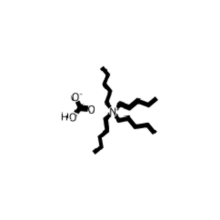 CCCCC[N+](CCCCC)(CCCCC)CCCCC.O=C([O-])O